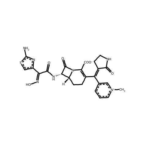 C[n+]1cccc(C(=C2CCNC2=O)C2=C(C(=O)[O-])N3C(=O)[C@@H](NC(=O)C(=NO)c4csc(N)n4)[C@H]3CC2)c1